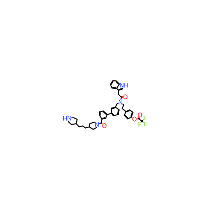 O=C(Cc1c[nH]c2ccccc12)N(CCc1ccc(OC(=O)C(F)(F)F)cc1)Cc1cccc(-c2cccc(C(=O)N3CCC(CCCC4CCNCC4)CC3)c2)c1